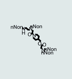 CCCCCCCCCNCCN(CCCCCCCCC)CC(=O)N1CCC(COC(=O)CN(CCCCCCCCC)CCCCCCCCC)CC1